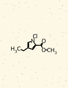 CCc1cc(C(=O)OC)n(Cl)c1